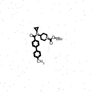 Cc1ccc(-c2ccc(C(=O)N(C3CC3)C3CCN(C(=O)OC(C)(C)C)CC3)cc2)cc1